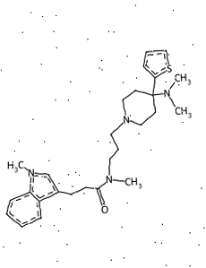 CN(CCCN1CCC(c2cccs2)(N(C)C)CC1)C(=O)CCc1cn(C)c2ccccc12